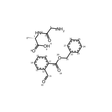 C[C@H](NC(=O)CN)C(=O)O.O=Cc1ccccc1C(=O)OCc1ccccc1